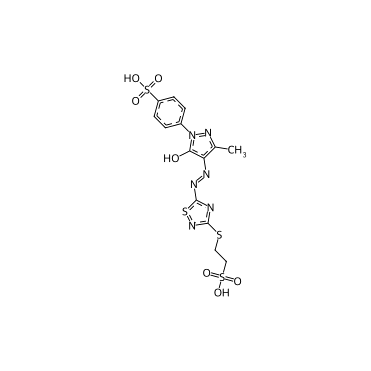 Cc1nn(-c2ccc(S(=O)(=O)O)cc2)c(O)c1N=Nc1nc(SCCS(=O)(=O)O)ns1